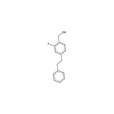 OCc1ccc(CCc2ccccc2)cc1F